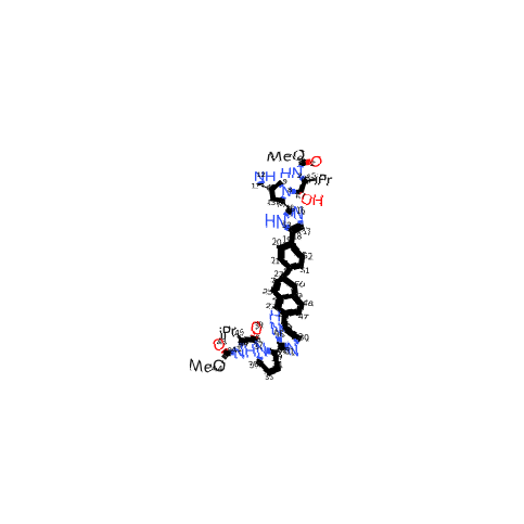 COC(=O)N[C@@H](C(C)C)C(O)N1C[C@@H](C=N)C[C@H]1c1ncc(-c2ccc(-c3ccc4cc(-c5cnc([C@@H]6CCCN6C(=O)[C@@H](NC(=O)OC)C(C)C)[nH]5)ccc4c3)cc2)[nH]1